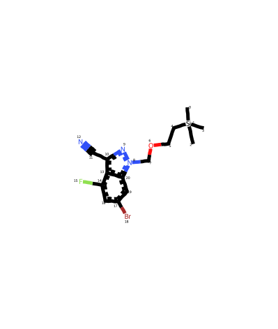 C[Si](C)(C)CCOCn1nc(C#N)c2c(F)cc(Br)cc21